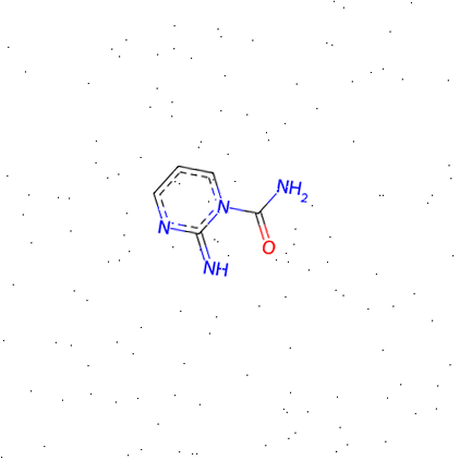 N=c1ncccn1C(N)=O